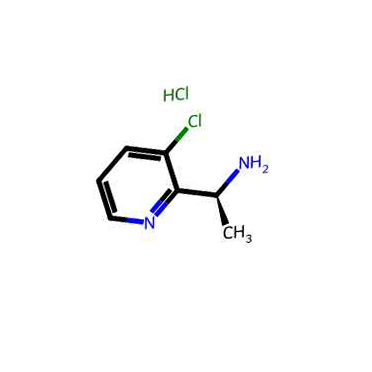 C[C@H](N)c1ncccc1Cl.Cl